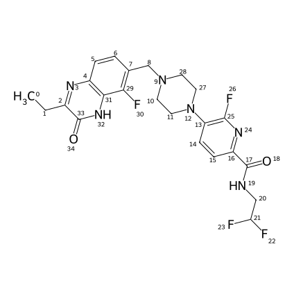 CCc1nc2ccc(CN3CCN(c4ccc(C(=O)NCC(F)F)nc4F)CC3)c(F)c2[nH]c1=O